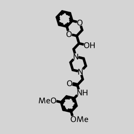 COc1cc(NC(=O)CN2CCN(CC(O)C3COc4ccccc4O3)CC2)cc(OC)c1